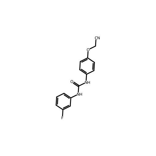 N#CCOc1ccc(NC(=O)Nc2cccc(F)c2)cc1